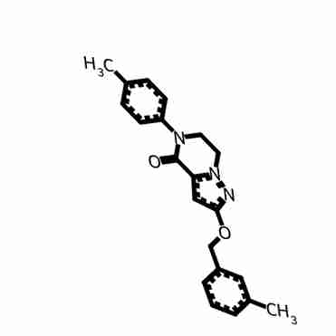 Cc1ccc(N2CCn3nc(OCc4cccc(C)c4)cc3C2=O)cc1